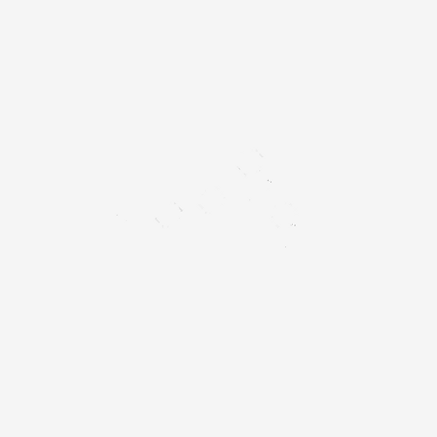 Cc1cc(/C(C[C@@H](c2ccc(-c3ccc(OC(=O)O)cc3)cc2)c2ccccc2C)=N\O)ccn1